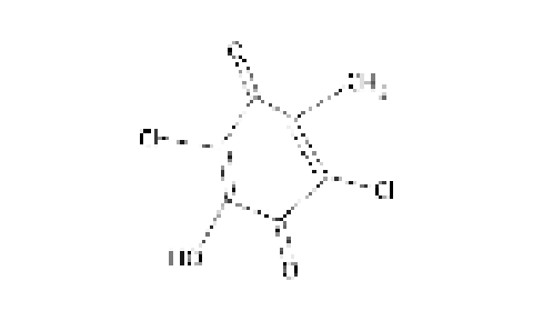 CC1=C(Cl)C(=O)C(O)=C(Cl)C1=O